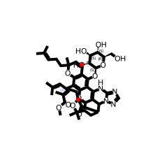 COC(=O)/C(C)=C\CC12OC(C)(C)C3CC(C1=O)C1C4=C(Nc5ncnn51)c1c(O[C@@H]5O[C@H](CO)[C@@H](O)[C@H](O)[C@H]5O)c5c(c(CC=C(C)C)c1OC432)OC(C)(CCC=C(C)C)C=C5